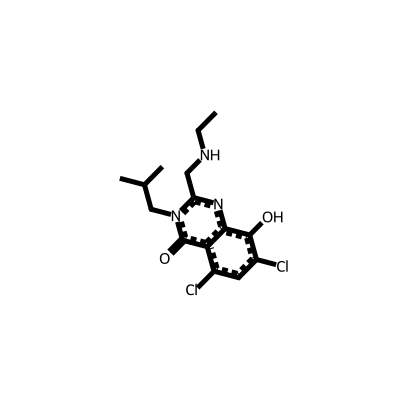 CCNCc1nc2c(O)c(Cl)cc(Cl)c2c(=O)n1CC(C)C